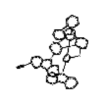 N#Cc1ccc2c(c1)c1ccccc1n2-c1cnc2c(c1)C1(c3ccc(-n4c5ccccc5c5ccccc54)cc3Sc3cccc(-n4c5ccccc5c5ccccc54)c31)c1cccnc1-2